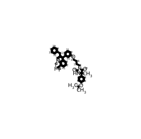 CC(C)Oc1ccc(C2(C)NC(=O)N(CCCCOc3cccc(-c4c(Cc5ccccc5)cnc5c(C(F)(F)F)cccc45)c3)C2=O)cc1